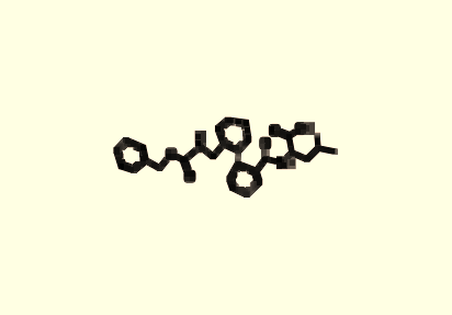 CC(C)CC(NC(=O)c1ccccc1-c1ccccc1CNC(=O)OCc1ccccc1)C(=O)O